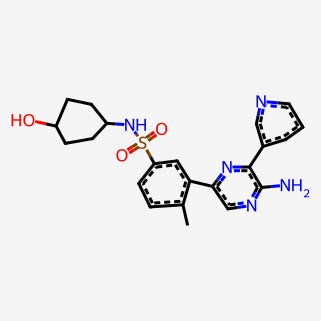 Cc1ccc(S(=O)(=O)NC2CCC(O)CC2)cc1-c1cnc(N)c(-c2cccnc2)n1